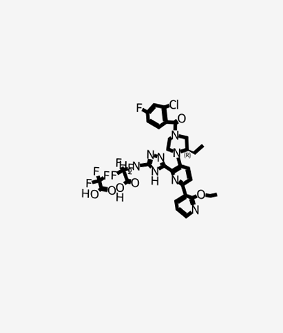 CCOc1ncccc1-c1ccc(N2CCN(C(=O)c3ccc(F)cc3Cl)C[C@H]2CC)c(-c2nnc(N)[nH]2)n1.O=C(O)C(F)(F)F.O=C(O)C(F)(F)F